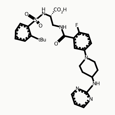 CC(C)(C)c1ccccc1S(=O)(=O)N[C@@H](CNC(=O)c1cc(N2CCC(Nc3ncccn3)CC2)ccc1F)C(=O)O